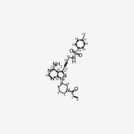 C=CC(=O)N1CCCC(n2nc(C#CCNS(=O)(=O)c3ccc(C)cc3)c3c(N)ncnc32)C1